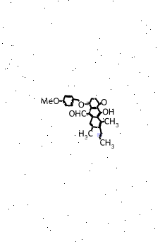 C/C=C/c1c(C)cc2c(C=O)c3c(c(O)c2c1C)C(=O)CC[C@@H]3OCc1ccc(OC)cc1